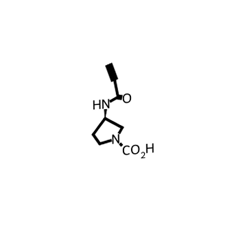 C#CC(=O)N[C@@H]1CCN(C(=O)O)C1